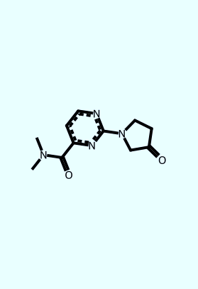 CN(C)C(=O)c1ccnc(N2CCC(=O)C2)n1